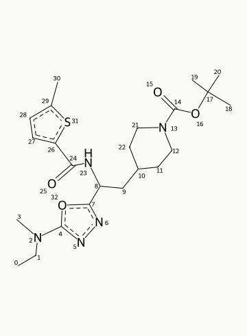 CCN(C)c1nnc(C(CC2CCN(C(=O)OC(C)(C)C)CC2)NC(=O)c2ccc(C)s2)o1